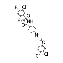 O=C(NS(=O)(=O)c1cc(Cl)c(F)cc1F)C1CCC(N2CCC(Oc3ccc(Cl)c(Cl)c3)CC2)CC1